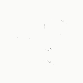 N#Cc1ccc(Nc2nc(N[C@@H]3CCCC[C@@H]3N)cnc2C(N)=O)cn1